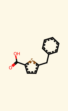 O=C(O)c1ccc(Cc2ccccc2)s1